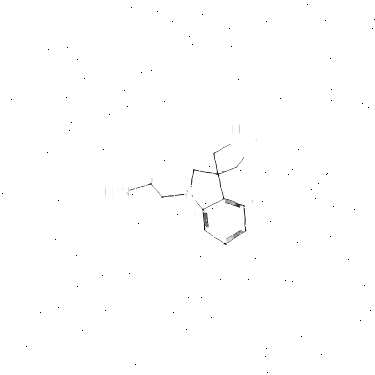 CCC1(CC)CN(CCN)c2ccccc21